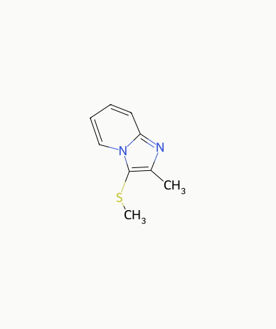 CSc1c(C)nc2ccccn12